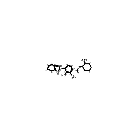 CC(OC1CCCCC1O)c1ccc(-n2nc3ccccc3n2)c(O)c1C(C)(C)C